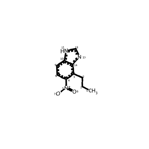 CCCc1c([N+](=O)[O-])ccc2[nH]cnc12